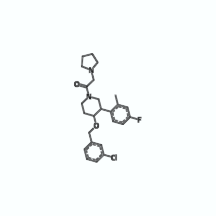 Cc1cc(F)ccc1C1CN(C(=O)CN2CCCC2)CCC1OCc1cccc(Cl)c1